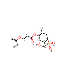 C=CC(=C)OCCC(=O)OC1C(C)CC2C3C1OC3S2(=O)=O